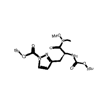 CON(C)C(=O)[C@H](Cc1ccn(C(=O)OC(C)(C)C)n1)NC(=O)OC(C)(C)C